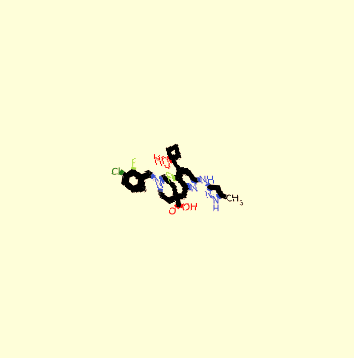 Cc1cc(Nc2cc(C3(O)CCC3)c(F)c(CC3(C(=O)O)CCN(Cc4cccc(Cl)c4F)CC3)n2)n[nH]1